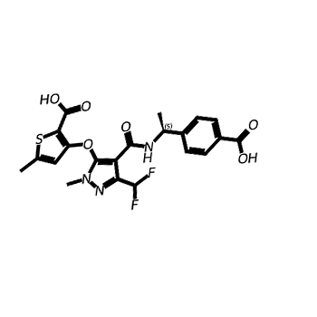 Cc1cc(Oc2c(C(=O)N[C@@H](C)c3ccc(C(=O)O)cc3)c(C(F)F)nn2C)c(C(=O)O)s1